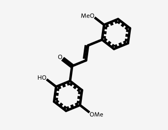 COc1ccc(O)c(C(=O)/C=C/c2ccccc2OC)c1